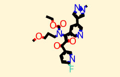 CCOC(=O)N(CCCOC)c1c(C(=O)c2ccc(F)nc2)oc2ncc(-c3cnn(C)c3)cc12